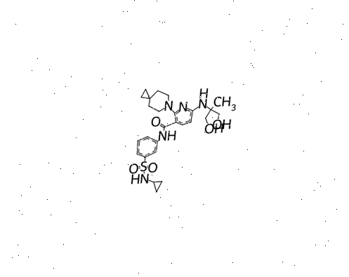 CC(CO)(CO)Nc1ccc(C(=O)Nc2cccc(S(=O)(=O)NC3CC3)c2)c(N2CCC3(CC2)CC3)n1